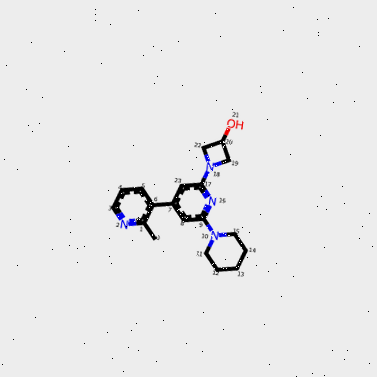 Cc1ncccc1-c1cc(N2CCCCC2)nc(N2CC(O)C2)c1